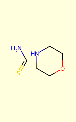 C1COCCN1.NC=S